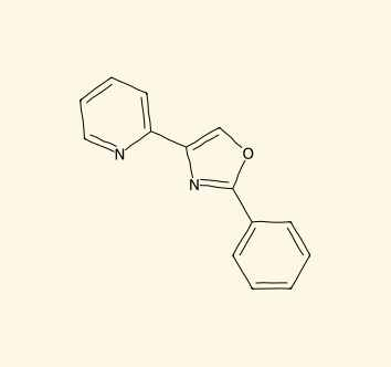 c1ccc(-c2nc(-c3ccccn3)co2)cc1